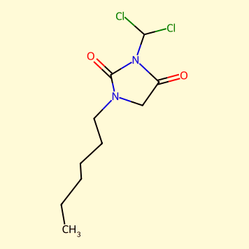 CCCCCCN1CC(=O)N(C(Cl)Cl)C1=O